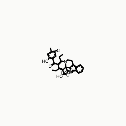 CCC1=C(C(=O)O)C2(C(=O)O)c3[nH]c4ccccc4c3CCN2C(CC)=C1C(=O)c1cc(Cl)c(C)cc1O